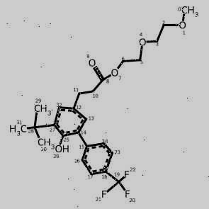 COCCOCCOC(=O)CCc1cc(-c2ccc(C(F)(F)F)cc2)c(O)c(C(C)(C)C)c1